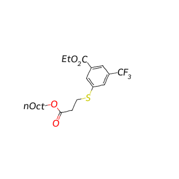 CCCCCCCCOC(=O)CCSc1cc(C(=O)OCC)cc(C(F)(F)F)c1